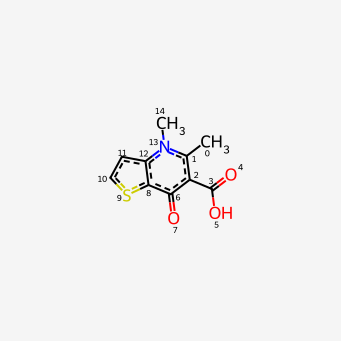 Cc1c(C(=O)O)c(=O)c2sccc2n1C